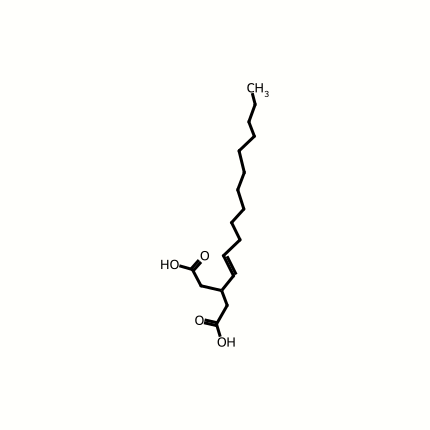 CCCCCCCCCCC=CC(CC(=O)O)CC(=O)O